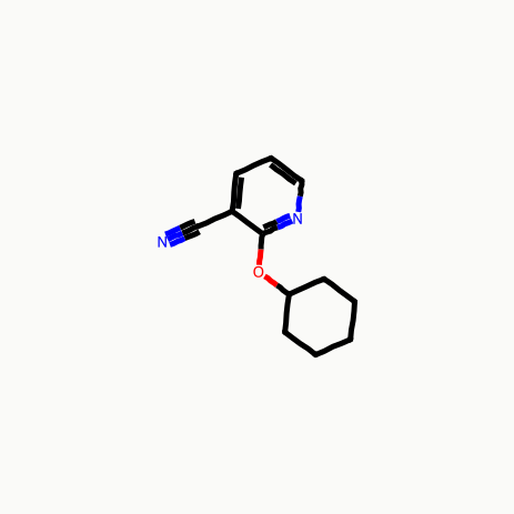 N#Cc1cccnc1OC1CCCCC1